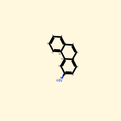 [NH]c1ccc2ccc3ccccc3c2c1